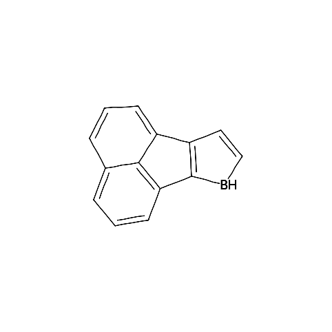 B1C=CC2=C1c1cccc3cccc2c13